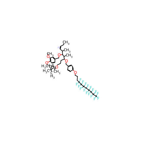 CC/C=C\C(C)C(OCc1ccc(OC)c(OC)c1)C(C)C(CCCO[Si](C)(C)C(C)(C)C)OCc1ccc(OCCCC(F)(F)C(F)(F)C(F)(F)C(F)(F)C(F)(F)C(F)(F)C(F)(F)C(F)(F)F)cc1